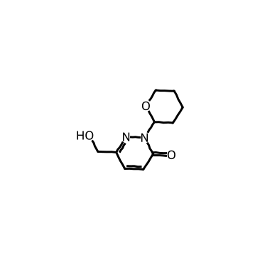 O=c1ccc(CO)nn1C1CCCCO1